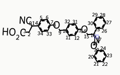 N#CC(CC(=O)O)c1ccc(OCc2ccc(OC/C(=N\Oc3ccccc3)c3ccccc3)cc2)cc1